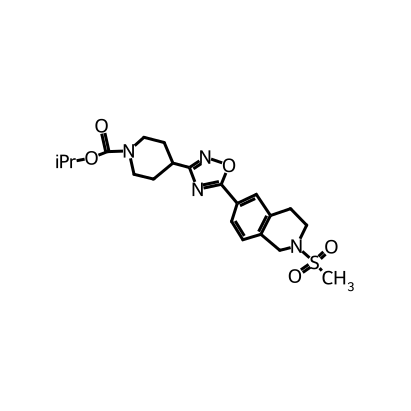 CC(C)OC(=O)N1CCC(c2noc(-c3ccc4c(c3)CCN(S(C)(=O)=O)C4)n2)CC1